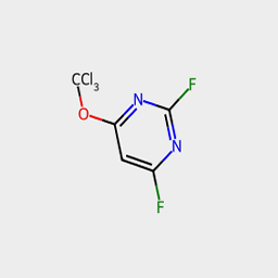 Fc1cc(OC(Cl)(Cl)Cl)nc(F)n1